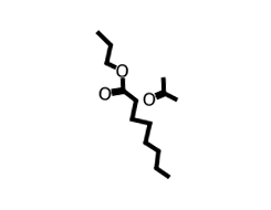 CC(C)=O.CCCCCCCC(=O)OCCC